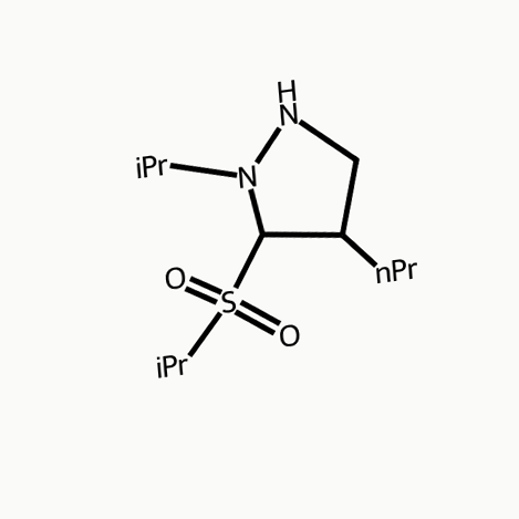 CCCC1CNN(C(C)C)C1S(=O)(=O)C(C)C